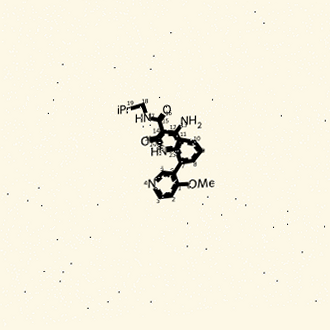 COc1ccncc1-c1cccc2c(N)c(C(=O)NCC(C)C)c(=O)[nH]c12